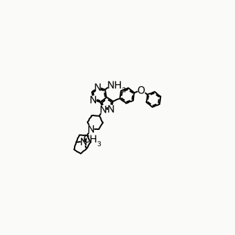 CN1C2CCC1CC(N1CCC(n3nc(-c4ccc(Oc5ccccc5)cc4)c4c(N)ncnc43)CC1)C2